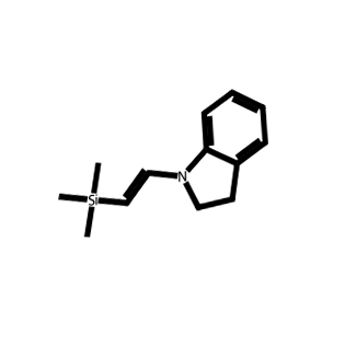 C[Si](C)(C)C=CN1CCc2ccccc21